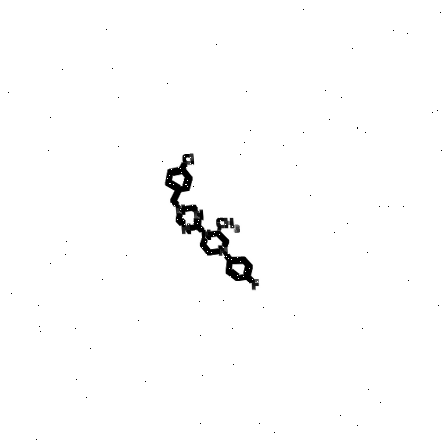 C[C@@H]1CN(c2ccc(F)cc2)CCN1C1=NCN(Cc2ccc(Cl)cc2)C=N1